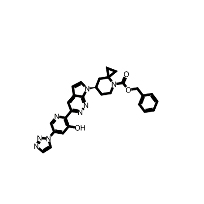 O=C(OCc1ccccc1)N1CC[C@@H](n2ccc3cc(-c4ncc(-n5ccnn5)cc4O)nnc32)CC12CC2